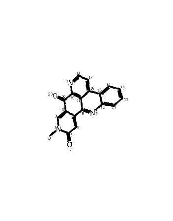 Cn1cc2c(cc1=O)-c1nc3ccccc3c3ccnc(c13)C2=O